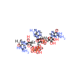 [BH3-]P(=O)(OC[C@H]1O[C@@H](n2c[n+](C)c3c(=O)[nH]c(N)nc32)[C@H](O)[C@@H]1CC)OP(=O)(O)OP(=O)(O)OC[C@H]1O[C@@H](n2cnc3c(N)ncnc32)[C@H](OC)[C@@H]1OP(=O)(O)OC[C@H]1O[C@@H](n2cnc3c(=O)[nH]c(N)nc32)[C@H](O)[C@@H]1O